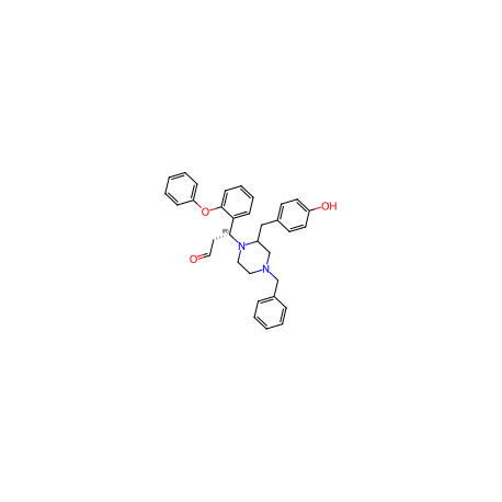 O=CC[C@H](c1ccccc1Oc1ccccc1)N1CCN(Cc2ccccc2)CC1Cc1ccc(O)cc1